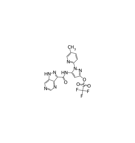 Cc1ccc(-n2nc(OS(=O)(=O)C(F)(F)F)cc2NC(=O)c2n[nH]c3cncnc23)nc1